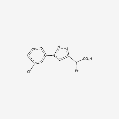 CCC(C(=O)O)c1cnn(-c2cccc(Cl)c2)c1